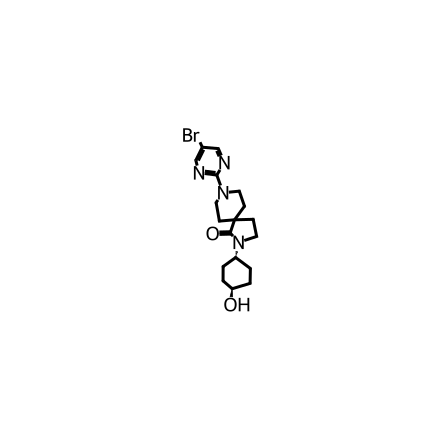 O=C1N([C@H]2CC[C@H](O)CC2)CCC12CCN(c1ncc(Br)cn1)CC2